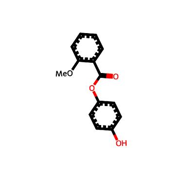 COc1ccccc1C(=O)Oc1ccc(O)cc1